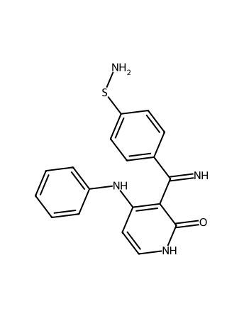 N=C(c1ccc(SN)cc1)c1c(Nc2ccccc2)cc[nH]c1=O